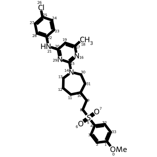 COc1ccc(S(=O)(=O)CCC2CCCN(c3nc(C)cc(Nc4ccc(Cl)cc4)n3)CC2)cc1